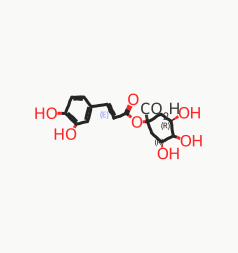 O=C(/C=C/c1ccc(O)c(O)c1)OC1(C(=O)O)C[C@@H](O)C(O)[C@H](O)C1